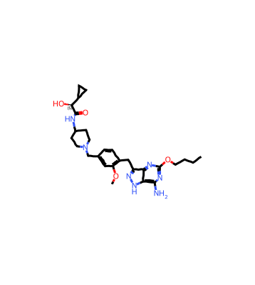 CCCCOc1nc(N)c2[nH]nc(Cc3ccc(CN4CCC(NC(=O)[C@@H](O)C5CC5)CC4)cc3OC)c2n1